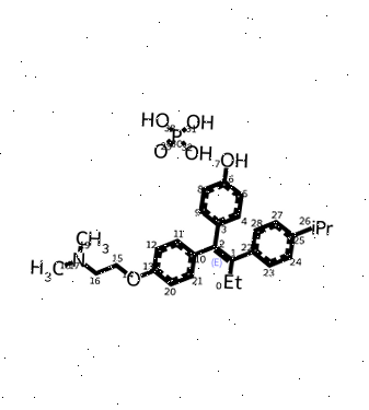 CC/C(=C(/c1ccc(O)cc1)c1ccc(OCCN(C)C)cc1)c1ccc(C(C)C)cc1.O=P(O)(O)O